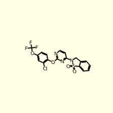 O=S1(=O)c2ccccc2CN1c1ccnc(Oc2ccc(OC(F)(F)F)cc2Cl)n1